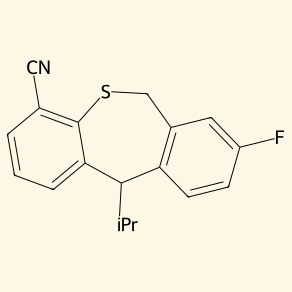 CC(C)C1c2ccc(F)cc2CSc2c(C#N)cccc21